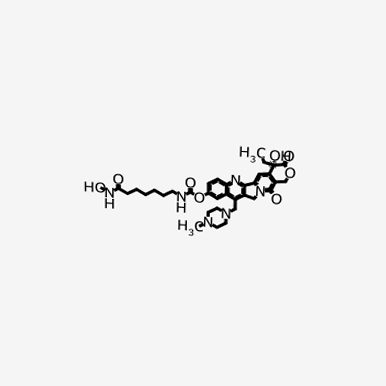 CC[C@@]1(O)C(=O)OCc2c1cc1n(c2=O)Cc2c-1nc1ccc(OC(=O)NCCCCCCC(=O)NO)cc1c2CN1CCN(C)CC1